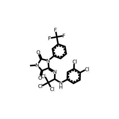 CN1C(=O)C(=NC(Nc2ccc(Cl)c(Cl)c2)C(Cl)(Cl)Cl)N(c2cccc(C(F)(F)F)c2)C1=O